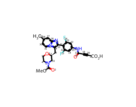 COC(=O)N1CCO[C@@H](Cc2c(-c3c(F)cc(NC(=O)C#CC(=O)O)cc3F)nc3cc(C)ccn23)C1